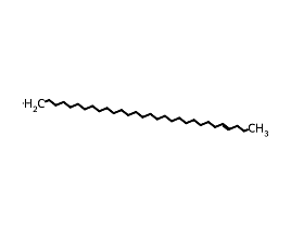 [CH2]CCCCCCCCCCCCCCCCCCCCCCCC/C=C/CCC